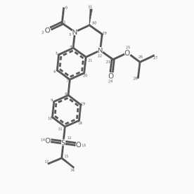 CC(=O)N1c2ccc(-c3ccc(S(=O)(=O)C(C)C)cc3)cc2N(C(=O)OC(C)C)C[C@@H]1C